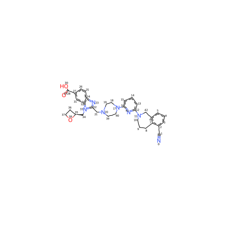 N#Cc1cccc2c1CCCN(c1cccc(N3CCN(Cc4nc5ccc(C(=O)O)cc5n4C[C@@H]4CCO4)CC3)n1)C2